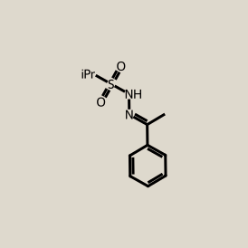 CC(=NNS(=O)(=O)C(C)C)c1ccccc1